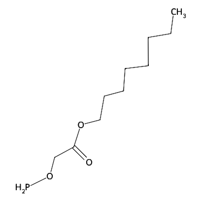 CCCCCCCCOC(=O)COP